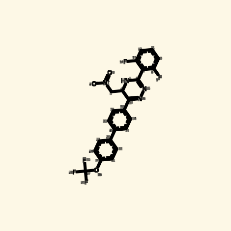 O=[N+]([O-])CC1NC(c2c(F)cccc2F)=NN=C1c1ccc(-c2ccc(OC(F)(F)F)cc2)cc1